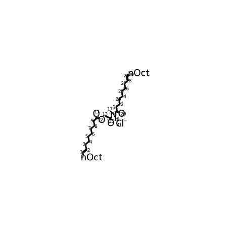 CCCCCCCCC=CCCCCCCCC(=O)OCC(=O)[N+](C)(C)C(=O)CCCCCCCC=CCCCCCCCC.[Cl-]